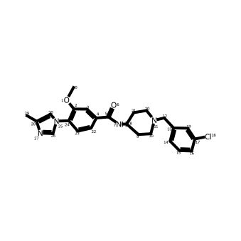 COc1cc(C(=O)NC2CCN(Cc3cccc(Cl)c3)CC2)ccc1-n1cnc(C)c1